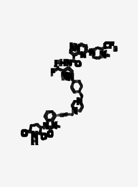 CN1CCN(c2ccn3ncc(C(=O)Nc4cn([C@H]5CC[C@H](CN6CCN(CC#Cc7cccc8c7n(C)c(=O)n8C7CCC(=O)NC7=O)CC6)CC5)nc4C(F)F)c3n2)CC1C(F)(F)F